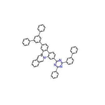 C1=c2ccccc2=CN2B1c1cc(-c3cc(-c4ccccc4)cc(-c4ccccc4)c3)ccc1-c1ccc(-c3nc(-c4ccccc4)nc(-c4cccc(-c5ccccc5)c4)n3)cc12